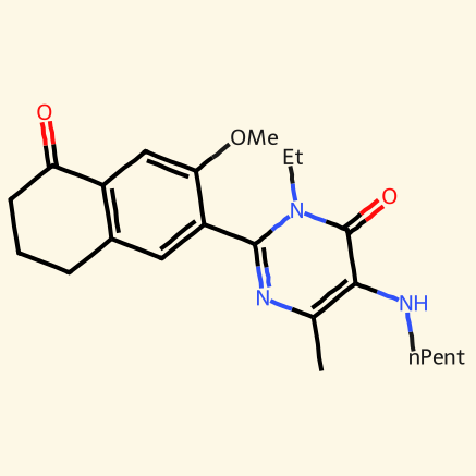 CCCCCNc1c(C)nc(-c2cc3c(cc2OC)C(=O)CCC3)n(CC)c1=O